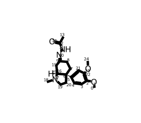 COc1ccc([C@@]23CCC(=NNC(C)=O)C[C@@H]2N(C)CC3)cc1OC